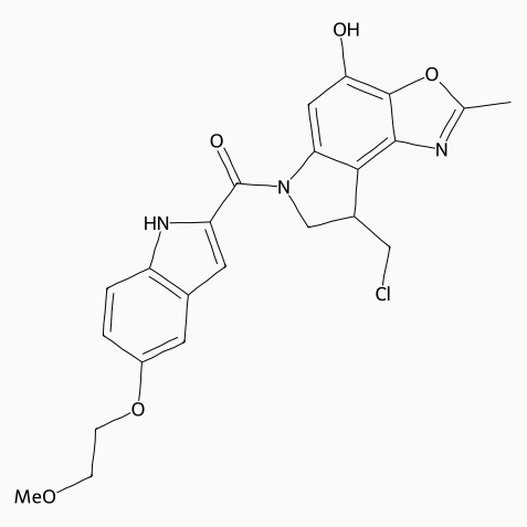 COCCOc1ccc2[nH]c(C(=O)N3CC(CCl)c4c3cc(O)c3oc(C)nc43)cc2c1